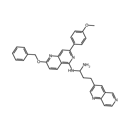 COc1ccc(-c2cc3nc(OCc4ccccc4)ccc3c(NC(N)CCc3cnc4ccncc4c3)n2)cc1